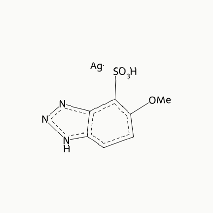 COc1ccc2[nH]nnc2c1S(=O)(=O)O.[Ag]